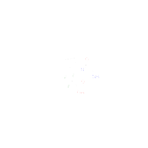 O=C(O)C(F)(F)F.O=C1CNCCN1C1CCC1